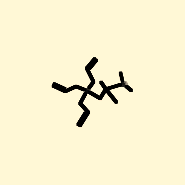 C=CC[Si](CC=C)(CC=C)CC(C)(C)[Si](C)C